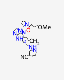 C=C/C=C(\C=C/CCNC1=NCC=CC(C#N)=C1)c1nc(C2CCCN2C(=O)/C=C/COC)n2ccnc(N)c12